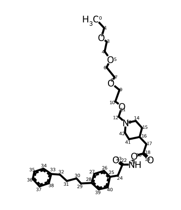 CCOCCOCCOCCOCN1CCC(CC(=O)ONC(=O)Cc2ccc(CCCCc3ccccc3)cc2)CC1